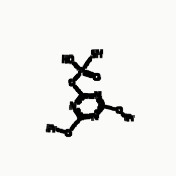 CC(C)Oc1nc(OC(C)C)nc(OP(=O)(O)S)n1